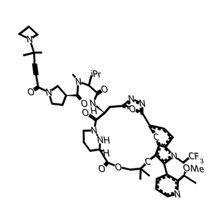 CO[C@@H](C)c1ncccc1-c1c2c3cc(ccc3n1CC(F)(F)F)-c1nnc(o1)C[C@H](NC(=O)C(C(C)C)N(C)C(=O)[C@H]1CCN(C(=O)C#CC(C)(C)N3CCC3)C1)C(=O)N1CCC[C@H](N1)C(=O)OCC(C)(C)C2